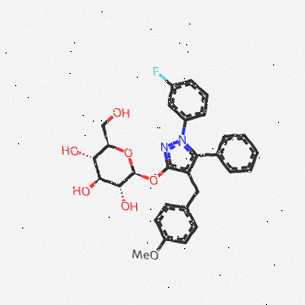 COc1ccc(Cc2c(O[C@@H]3O[C@H](CO)[C@@H](O)[C@H](O)[C@H]3O)nn(-c3cccc(F)c3)c2-c2ccccc2)cc1